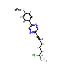 CCCCCc1ccc(-c2cnc(C#CCCCC(C)F)cn2)cc1